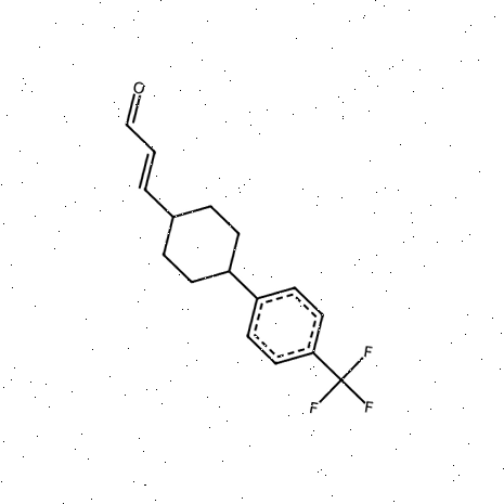 O=C/C=C/C1CCC(c2ccc(C(F)(F)F)cc2)CC1